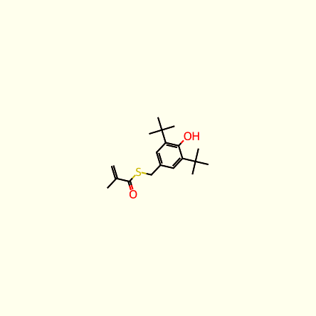 C=C(C)C(=O)SCc1cc(C(C)(C)C)c(O)c(C(C)(C)C)c1